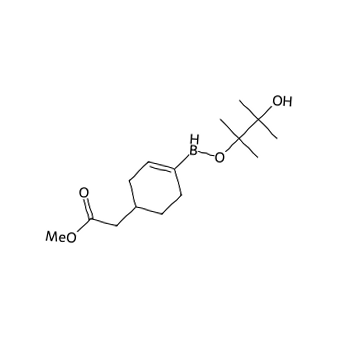 COC(=O)CC1CC=C(BOC(C)(C)C(C)(C)O)CC1